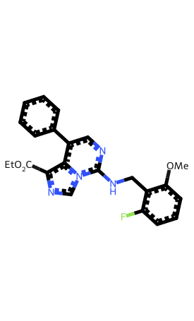 CCOC(=O)c1ncn2c(NCc3c(F)cccc3OC)ncc(-c3ccccc3)c12